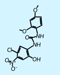 COc1ccc(NC(=O)Nc2cc(Cl)c([N+](=O)[O-])cc2O)c(OC)c1